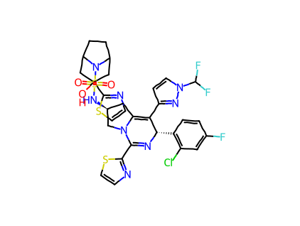 O=S(=O)(N[C@H]1CC2=C(c3ccn(C(F)F)n3)[C@H](c3ccc(F)cc3Cl)N=C(c3nccs3)N2C1)N1C2CCC1CC(O)(c1nccs1)C2